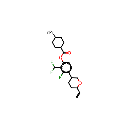 C=CC1CCC(c2ccc(OC(=O)C3CCC(CCC)CC3)c(C(F)F)c2F)CO1